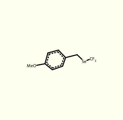 COc1ccc(C[Se]C(F)(F)F)cc1